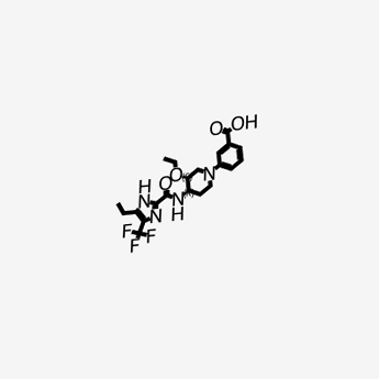 CCO[C@H]1CN(c2cccc(C(=O)O)c2)CC[C@H]1NC(=O)c1nc(C(F)(F)F)c(CC)[nH]1